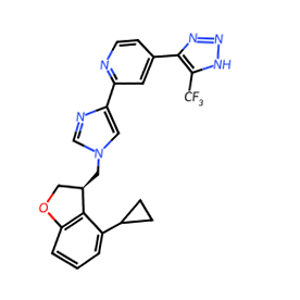 FC(F)(F)c1[nH]nnc1-c1ccnc(-c2cn(C[C@@H]3COc4cccc(C5CC5)c43)cn2)c1